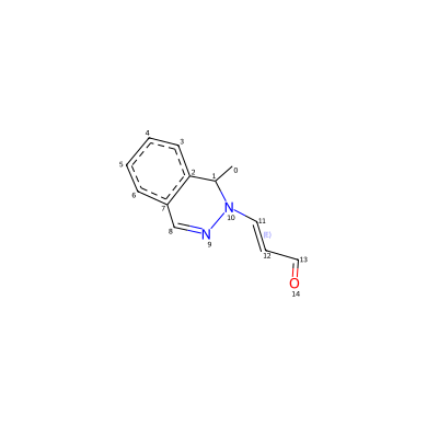 CC1c2ccccc2C=NN1/C=C/C=O